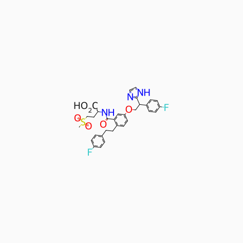 CS(=O)(=O)CC[C@H](NC(=O)c1cc(OCC(c2ccc(F)cc2)c2ncc[nH]2)ccc1CCc1ccc(F)cc1)C(=O)O